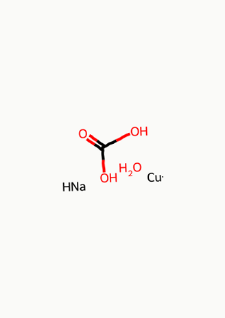 O.O=C(O)O.[Cu].[NaH]